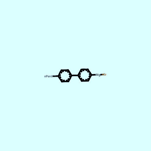 CCCCCc1ccc(-c2cc[c]([Mg][Br])cc2)cc1